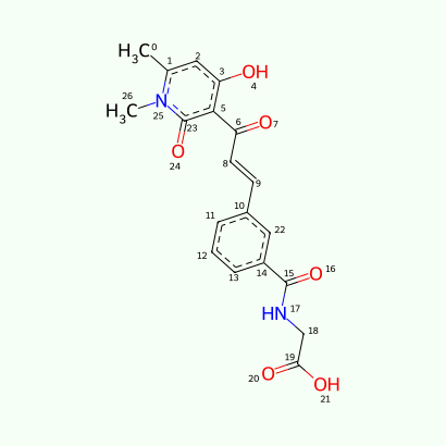 Cc1cc(O)c(C(=O)C=Cc2cccc(C(=O)NCC(=O)O)c2)c(=O)n1C